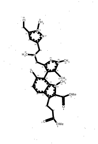 COC(=O)CCc1c(C(=O)OC)n(C)c2c(-c3c(CN(C)Cc4cc(CCl)n(C)n4)nn(C)c3C)c(Cl)ccc12